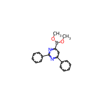 COB(OC)c1cc(-c2ccccc2)nc(-c2ccccc2)n1